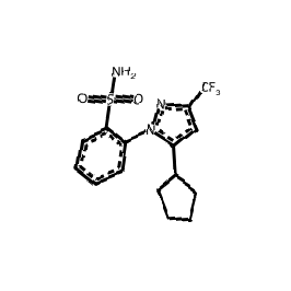 NS(=O)(=O)c1ccccc1-n1nc(C(F)(F)F)cc1C1CCCC1